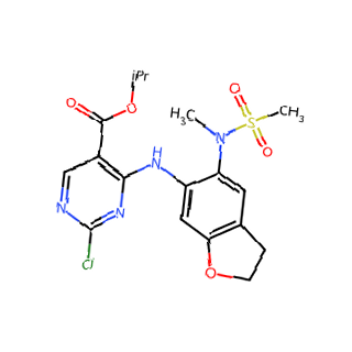 CC(C)OC(=O)c1cnc(Cl)nc1Nc1cc2c(cc1N(C)S(C)(=O)=O)CCO2